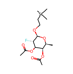 CC(=O)O[C@H]1[C@H](F)[C@@H](OCC[Si](C)(C)C)O[C@@H](C)[C@H]1OC(C)=O